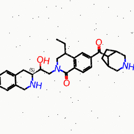 CCC1CN(CC(O)[C@@H]2Cc3ccccc3CN2)C(=O)c2ccc(C(=O)C3C4CCC3CNC4)cc21